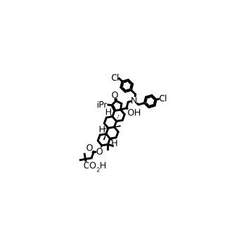 CC(C)C1=C2[C@H]3CC[C@@H]4[C@@]5(C)CC[C@H](OC(=O)CC(C)(C)C(=O)O)C(C)(C)[C@H]5CC[C@@]4(C)[C@]3(C)CCC2(C(O)CN(Cc2ccc(Cl)cc2)Cc2ccc(Cl)cc2)CC1=O